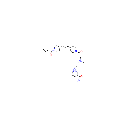 CCCC(=O)N1CCC(CCCC2CCN(C(=O)CCN(C)CCC[n+]3cccc(C(N)=O)c3)CC2)CC1